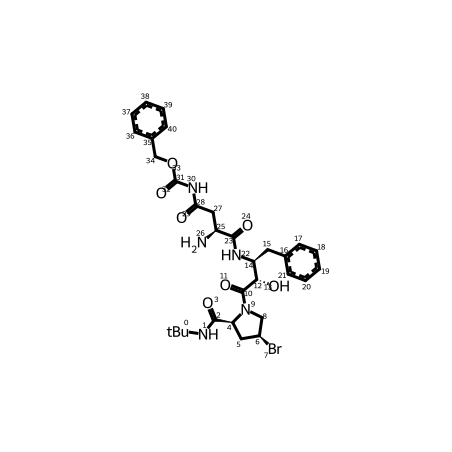 CC(C)(C)NC(=O)[C@@H]1C[C@H](Br)CN1C(=O)[C@@H](O)[C@H](Cc1ccccc1)NC(=O)[C@@H](N)CC(=O)NC(=O)OCc1ccccc1